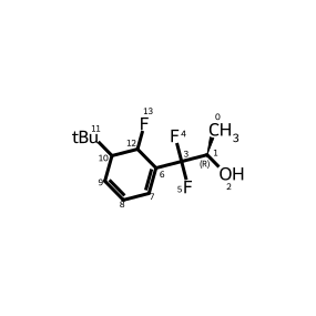 C[C@@H](O)C(F)(F)C1=CC=CC(C(C)(C)C)C1F